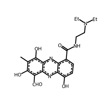 CCN(CC)CCNC(=O)c1ccc(O)c2nc3c(C=O)c(O)c(C)c(O)c3nc12